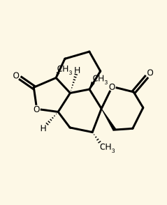 C[C@@H]1C[C@H]2OC(=O)[C@@]3(C)CCC[C@@](C)([C@@H]23)[C@@]12CCCC(=O)O2